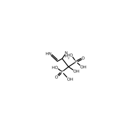 N=CC(N)C(O)(P(=O)(O)O)P(=O)(O)O